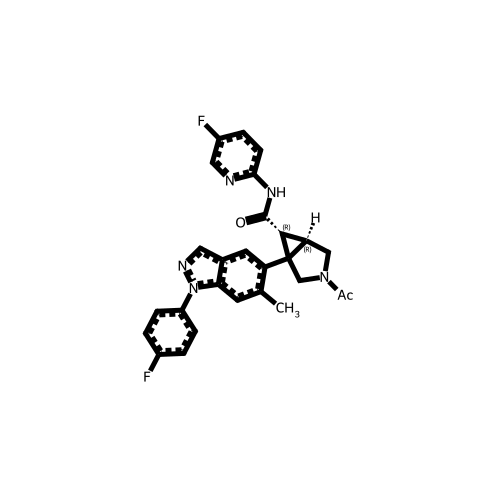 CC(=O)N1C[C@@H]2[C@@H](C(=O)Nc3ccc(F)cn3)C2(c2cc3cnn(-c4ccc(F)cc4)c3cc2C)C1